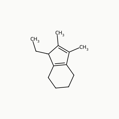 CC[C]1C(C)=C(C)C2=C1CCCC2